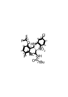 CC(C)(C)[S@@+]([O-])NC(C#N)C[C@@H](Nc1cc(Cl)ccc1[N+](=O)[O-])c1c(OC(F)F)ccc(F)c1Br